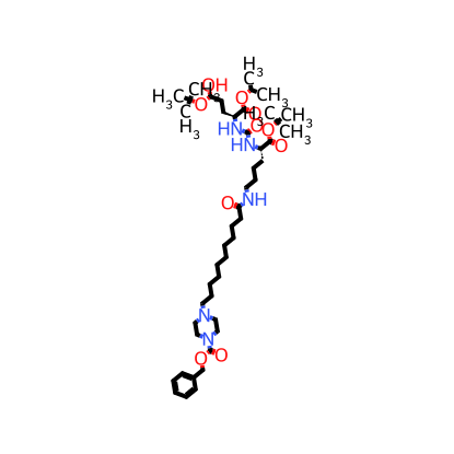 CC(C)OC(=O)[C@H](CCC(O)OC(C)(C)C)NC(=O)N[C@@H](CCCCNC(=O)CCCCCCCCCCN1CCN(C(=O)OCc2ccccc2)CC1)C(=O)OC(C)(C)C